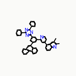 Cc1cc2c(-c3ccnc(-c4cc(-c5nc(-c6ccccc6)nc(-c6ccccc6)n5)cc(-c5cc6ccccc6c6ccccc56)c4)c3)cccc2nc1C